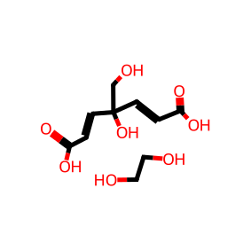 O=C(O)C=CC(O)(C=CC(=O)O)CO.OCCO